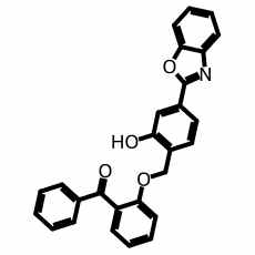 O=C(c1ccccc1)c1ccccc1OCc1ccc(-c2nc3ccccc3o2)cc1O